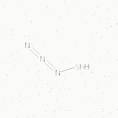 [N-]=[N+]=[N][SbH2]